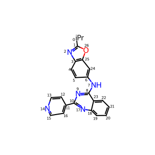 CC(C)c1nc2ccc(Nc3nc(-c4ccncc4)nc4ccccc34)cc2o1